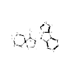 O[C@H]1[C@@H](C2c3ccccc3-c3cncn32)CCC12CCOCC2